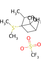 CC1CCC2CC1([S+](C)C)C2(C)C.O=S(=O)([O-])C(F)(F)F